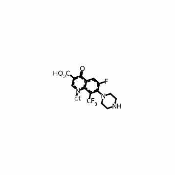 CCn1cc(C(=O)O)c(=O)c2cc(F)c(N3CCNCC3)c(C(F)(F)F)c21